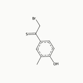 Cc1cc(C(=S)CBr)ccc1O